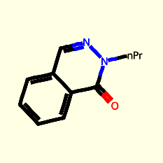 CCCn1ncc2ccccc2c1=O